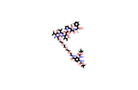 CCC(C)C(C(CC(=O)N1CCCC1C(OC)C(C)C(=O)N[C@@H](C)[C@H](O)c1ccccc1)OC)N(C)C(=O)[C@@H](NC(=O)C(C(C)C)N(C)C(=O)COCCOCCOCCOCCNC(=O)c1ccc(NC(=O)OC(C)(C)C)c(NC(=O)OC(C)(C)C)c1)C(C)C